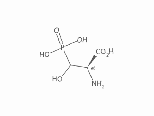 N[C@H](C(=O)O)C(O)P(=O)(O)O